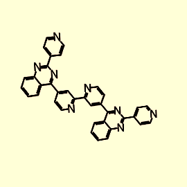 c1ccc2c(-c3ccnc(-c4cc(-c5nc(-c6ccncc6)nc6ccccc56)ccn4)c3)nc(-c3ccncc3)nc2c1